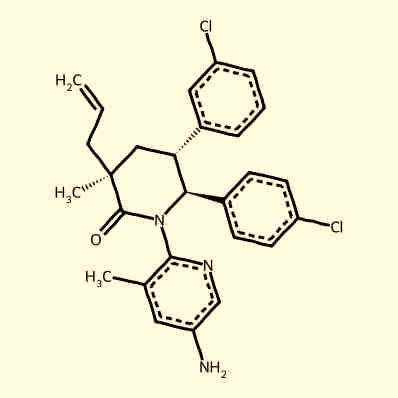 C=CC[C@@]1(C)C[C@H](c2cccc(Cl)c2)[C@@H](c2ccc(Cl)cc2)N(c2ncc(N)cc2C)C1=O